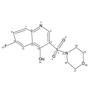 O=S(=O)(c1cnc2ccc(F)cc2c1O)N1CCOCC1